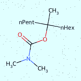 CCCCCCC(C)(CCCCC)OC(=O)N(C)C